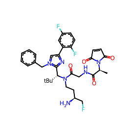 C[C@@H](C(=O)NCC(=O)N(CC[C@H](N)CF)[C@@H](c1nc(-c2cc(F)ccc2F)cn1Cc1ccccc1)C(C)(C)C)N1C(=O)C=CC1=O